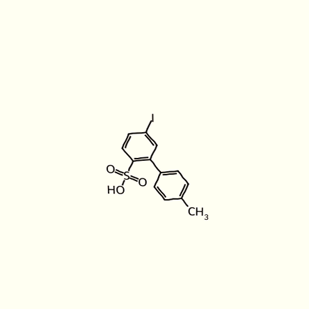 Cc1ccc(-c2cc(I)ccc2S(=O)(=O)O)cc1